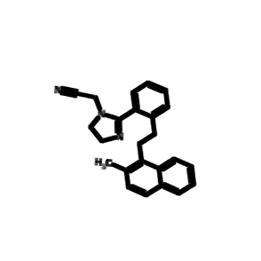 Cc1ccc2ccccc2c1CCc1ccccc1C1=NCCN1CC#N